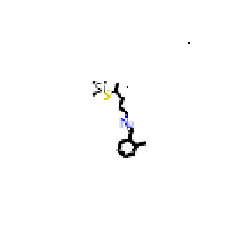 Cc1ccccc1/C=N/CCCC(C)S[Si](C)(C)C